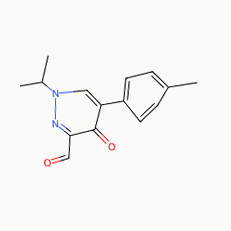 Cc1ccc(-c2cn(C(C)C)nc(C=O)c2=O)cc1